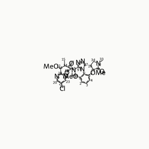 COc1cccc(OC)c1-n1c(NS(=O)(=O)C(C)C(OC)c2ncc(Cl)cn2)nnc1[C@H]1CC(=O)N(C)C1